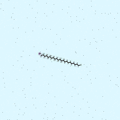 CCCCCCCCCCCCCCCCCCCCCCCC[P]